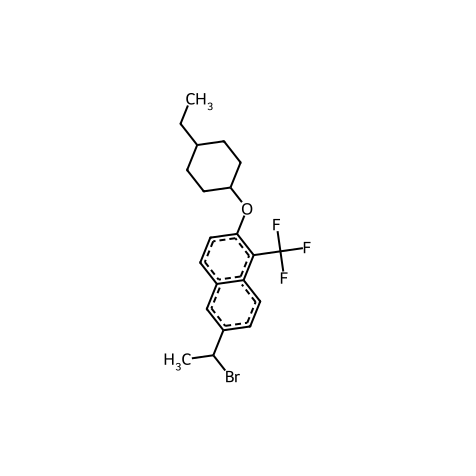 CCC1CCC(Oc2ccc3cc(C(C)Br)ccc3c2C(F)(F)F)CC1